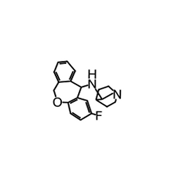 Fc1ccc2c(c1)C(NC1CN3CCC1CC3)c1ccccc1CO2